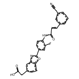 N#Cc1cccc(C=CC(=O)Nc2ccc(-c3nc4cc(CC(=O)O)ccc4o3)cc2F)c1